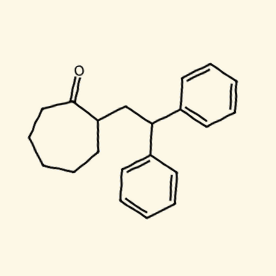 O=C1CCCCCC1CC(c1ccccc1)c1ccccc1